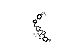 NC(=O)C1C(c2cccc(F)c2)CCN1C1CCN(Cc2ccn(-c3ccc(C(F)(F)F)cc3)c2)CC1